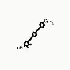 CCCc1ccc(C#Cc2ccc(C#Cc3ccc(OC(F)(F)F)cc3)cc2)c(F)c1F